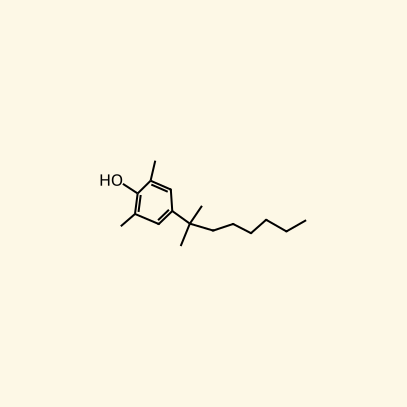 CCCCCCC(C)(C)c1cc(C)c(O)c(C)c1